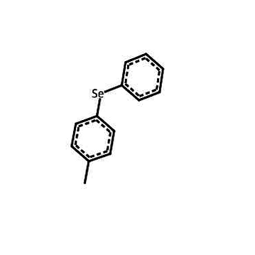 Cc1ccc([Se]c2ccccc2)cc1